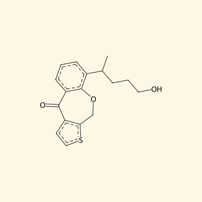 CC(CCCO)c1cccc2c1OCc1sccc1C2=O